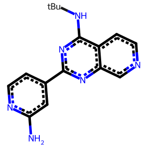 CC(C)(C)Nc1nc(-c2ccnc(N)c2)nc2cnccc12